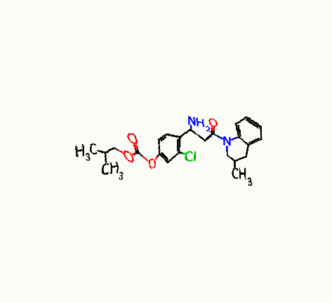 CC(C)COC(=O)Oc1ccc(C(N)CC(=O)N2CC(C)Cc3ccccc32)c(Cl)c1